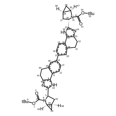 CC(C)(C)OC(=O)N1C(c2nc3c([nH]2)-c2ccc(-c4ccc5c(c4)CCc4nc([C@@H]6C[C@H]7C[C@H]7N6C(=O)OC(C)(C)C)[nH]c4-5)cc2CC3)C[C@H]2C[C@H]21